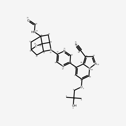 CC(C)(O)COc1cc(-c2cnc(N3C4CC5CC6(NC=O)CC3C46C5)cn2)c2c(C#N)cnn2c1